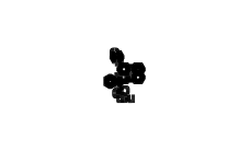 CC(C)(C)OC(=O)n1c(CN(C2CCCc3cccnc32)[C@H]2CC[C@H](N3CCOCC3)CC2)nc2ccccc21